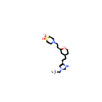 CCN1CNC(CCC2CCOC(CCN3CCS(=O)(=O)CC3)C2)C1